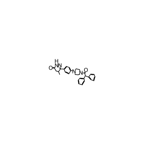 CC1CC(=O)NN=C1c1ccc(N2CCN(C(=O)C(c3ccccc3)c3ccccc3)CC2)cc1